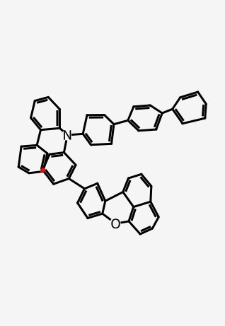 c1ccc(-c2ccc(-c3ccc(N(c4cccc(-c5ccc6c(c5)-c5cccc7cccc(c57)O6)c4)c4ccccc4-c4ccccc4)cc3)cc2)cc1